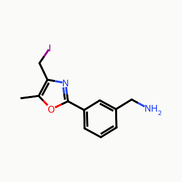 Cc1oc(-c2cccc(CN)c2)nc1CI